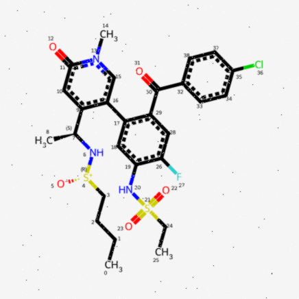 CCCC[S@+]([O-])N[C@@H](C)c1cc(=O)n(C)cc1-c1cc(NS(=O)(=O)CC)c(F)cc1C(=O)c1ccc(Cl)cc1